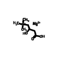 C[N+](C)(C)CC(O)CC(=O)O.[Mg+2]